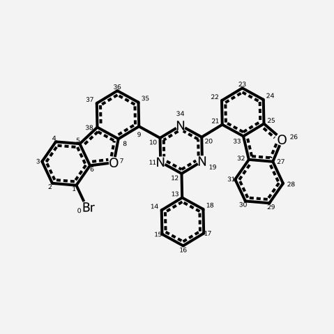 Brc1cccc2c1oc1c(-c3nc(-c4ccccc4)nc(-c4cccc5oc6ccccc6c45)n3)cccc12